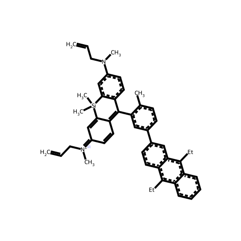 C=CCN(C)c1ccc2c(c1)[Si](C)(C)C1=C/C(=[N+](/C)CC=C)C=CC1=C2c1cc(-c2ccc3c(CC)c4ccccc4c(CC)c3c2)ccc1C